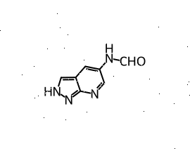 O=CNc1cnc2n[nH]cc2c1